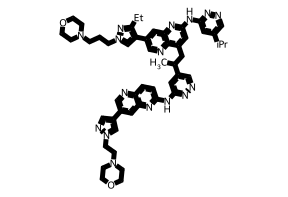 CCc1nn(CCCN2CCOCC2)cc1-c1cnc2c(CC(C)c3cnnc(Nc4ccc5ncc(-c6cnn(CCN7CCOCC7)c6)cc5n4)c3)cc(Nc3cc(C(C)C)cnn3)nc2c1